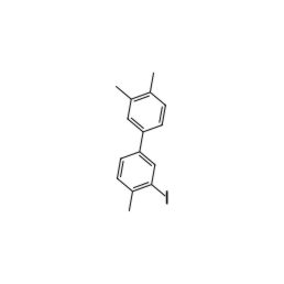 Cc1ccc(-c2ccc(C)c(I)c2)cc1C